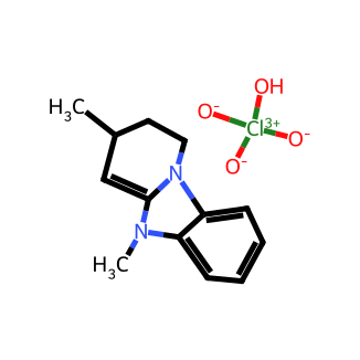 CC1C=C2N(C)c3ccccc3N2CC1.[O-][Cl+3]([O-])([O-])O